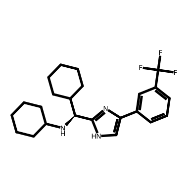 FC(F)(F)c1cccc(-c2c[nH]c([C@@H](NC3CCCCC3)C3CCCCC3)n2)c1